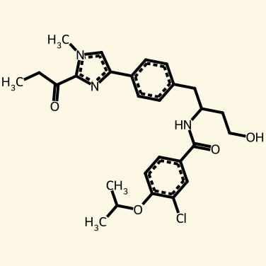 CCC(=O)c1nc(-c2ccc(CC(CCO)NC(=O)c3ccc(OC(C)C)c(Cl)c3)cc2)cn1C